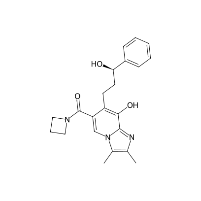 Cc1nc2c(O)c(CC[C@@H](O)c3ccccc3)c(C(=O)N3CCC3)cn2c1C